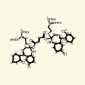 CCCCCCN(CCCCCC)CCSC1(OC(=O)/C=C/C(=O)OC2(SCCN(CCCCCC)CCCCCC)CN=C(c3ccccc3Cl)c3cc(Cl)ccc3N2)CN=C(c2ccccc2Cl)c2cc(Cl)ccc2N1